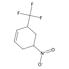 O=[N+]([O-])[C]1CC=CC(C(F)(F)F)C1